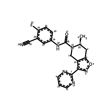 C[C@H]1Cc2onc(-c3ncccn3)c2CN1C(=O)Nc1ccc(F)c(C#N)c1